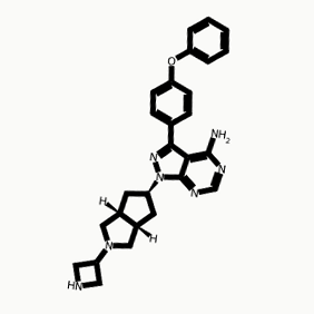 Nc1ncnc2c1c(-c1ccc(Oc3ccccc3)cc1)nn2[C@H]1C[C@@H]2CN(C3CNC3)C[C@@H]2C1